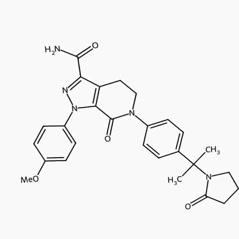 COc1ccc(-n2nc(C(N)=O)c3c2C(=O)N(c2ccc(C(C)(C)N4CCCC4=O)cc2)CC3)cc1